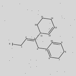 IC/C=C(\CC1=CCCC=C1)C1C=CCCC1